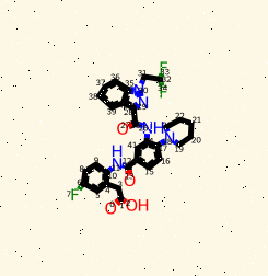 O=C(O)Cc1cc(F)ccc1NC(=O)c1ccc(N2CCCCC2)c(NC(=O)c2nn(CC(F)F)c3ccccc23)c1